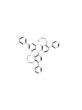 c1ccc(-c2cc3c4c(c2)N2CCCCc5c(-c6ccccc6)ccc(c52)B4c2ccc(-c4ccccc4)c4c2N3CCCC4)cc1